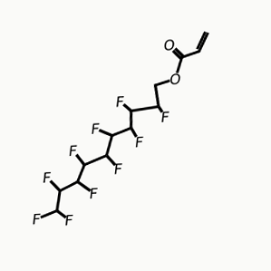 C=CC(=O)OCC(F)C(F)C(F)C(F)C(F)C(F)C(F)C(F)C(F)F